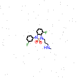 CNCCCN1c2c(F)cccc2N(c2cccc(F)c2)S1(=O)=O